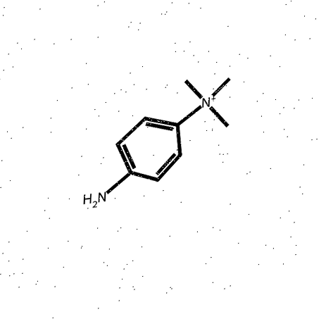 C[N+](C)(C)c1ccc(N)cc1